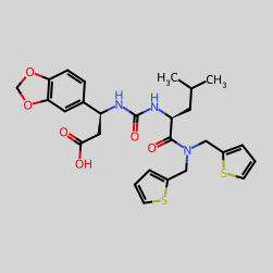 CC(C)C[C@H](NC(=O)N[C@@H](CC(=O)O)c1ccc2c(c1)OCO2)C(=O)N(Cc1cccs1)Cc1cccs1